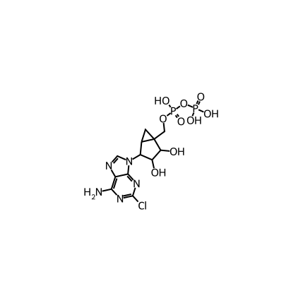 Nc1nc(Cl)nc2c1ncn2C1C(O)C(O)C2(COP(=O)(O)OP(=O)(O)O)CC12